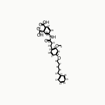 COc1cc(OCCCCCc2ccccc2)ccc1CCC(=O)Nc1ccc(C(=O)O)c(C(=O)O)c1